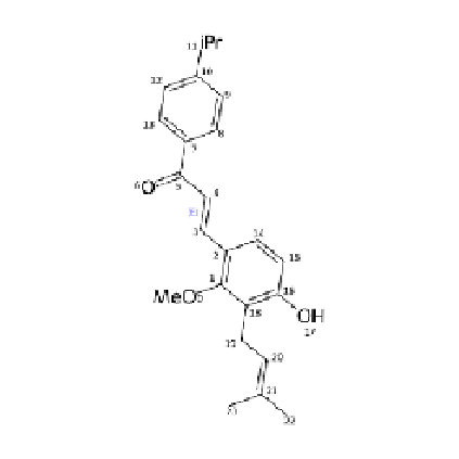 COc1c(/C=C/C(=O)c2ccc(C(C)C)cc2)ccc(O)c1CC=C(C)C